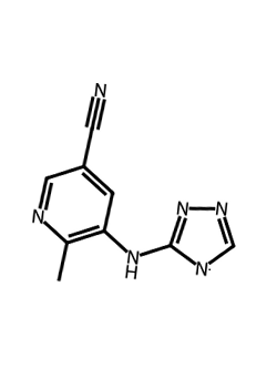 Cc1ncc(C#N)cc1NC1=NN=C[N]1